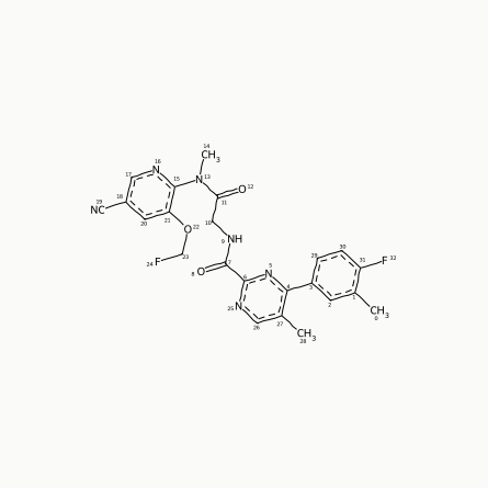 Cc1cc(-c2nc(C(=O)NCC(=O)N(C)c3ncc(C#N)cc3OCF)ncc2C)ccc1F